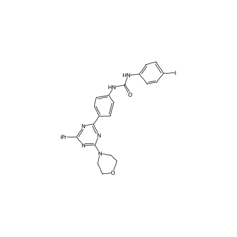 CC(C)c1nc(-c2ccc(NC(=O)Nc3ccc(I)cc3)cc2)nc(N2CCOCC2)n1